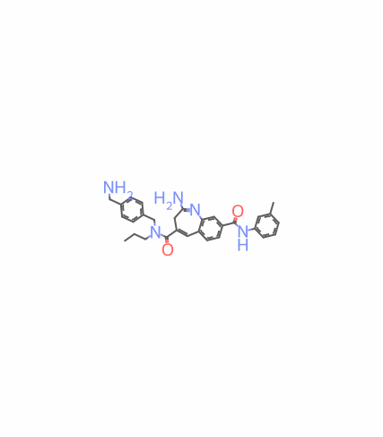 CCCN(Cc1ccc(CN)cc1)C(=O)C1=Cc2ccc(C(=O)Nc3cccc(C)c3)cc2N=C(N)C1